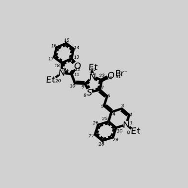 CCN1C=CC(=CC=c2sc(=Cc3oc4ccccc4[n+]3CC)n(CC)c2=O)c2ccccc21.[Br-]